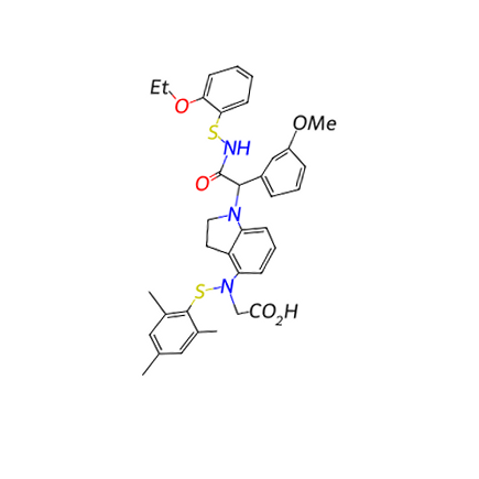 CCOc1ccccc1SNC(=O)C(c1cccc(OC)c1)N1CCc2c(N(CC(=O)O)Sc3c(C)cc(C)cc3C)cccc21